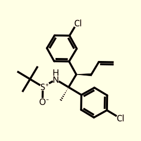 C=CC[C@H](c1cccc(Cl)c1)[C@](C)(N[S+]([O-])C(C)(C)C)c1ccc(Cl)cc1